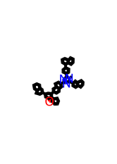 CN1C(c2ccc3ccccc3c2)=NC(c2ccc3cc(-c4cc(-c5ccc6ccccc6c5)cc5oc6ccccc6c45)ccc3c2)=NC1c1ccc(-c2cccc3ccccc23)cc1